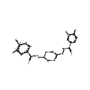 Cc1ccc(C(=O)NCC2CCC(CNC(=O)c3ccc(C)c(C)c3)CC2)cc1C